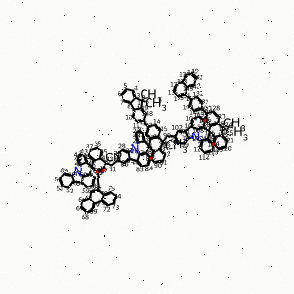 CC1(C)c2ccccc2-c2ccc(-c3ccc4c(c3)C3(c5ccccc5-n5c6ccc(CC7(C)c8ccccc8C8(c9ccccc9-n9c%10ccccc%10c%10cccc8c%109)c8cc(-c9cc%10ccccc%10c%10ccccc9%10)ccc87)cc6c6cccc3c65)c3ccccc3C4(C)Cc3ccc4c(c3)c3cccc5c3n4-c3ccccc3C53c4ccccc4C(C)(C)c4ccc(-c5ccc(-c6cccc7ccccc67)cc5)cc43)cc21